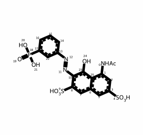 CC(=O)Nc1cc(S(=O)(=O)O)cc2cc(S(=O)(=O)O)c(N=Nc3cccc(P(=O)(O)O)c3)c(O)c12